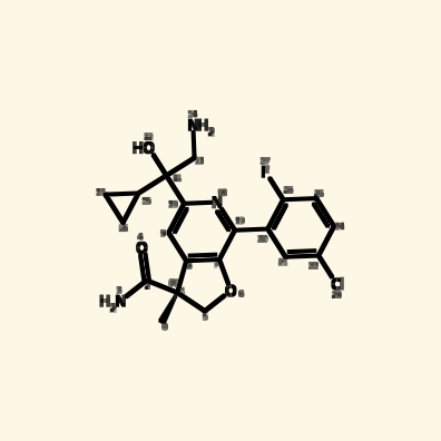 C[C@]1(C(N)=O)COc2c1cc(C(O)(CN)C1CC1)nc2-c1cc(Cl)ccc1F